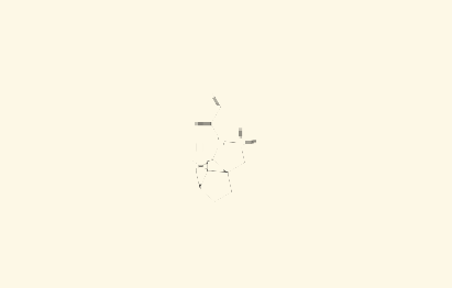 CC1(C)C2CCC13CS(=O)(=O)N(C(=O)C=O)[C@@H]3C2